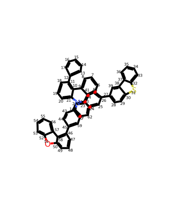 c1ccc(-c2ccccc2-c2c(-c3ccccc3)cccc2N(c2ccc(-c3ccc4sc5ccccc5c4c3)cc2)c2ccc(-c3cccc4oc5ccccc5c34)cc2)cc1